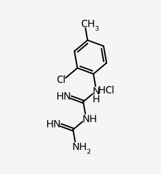 Cc1ccc(NC(=N)NC(=N)N)c(Cl)c1.Cl